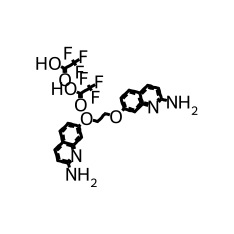 Nc1ccc2ccc(OCCOc3ccc4ccc(N)nc4c3)cc2n1.O=C(O)C(F)(F)F.O=C(O)C(F)(F)F